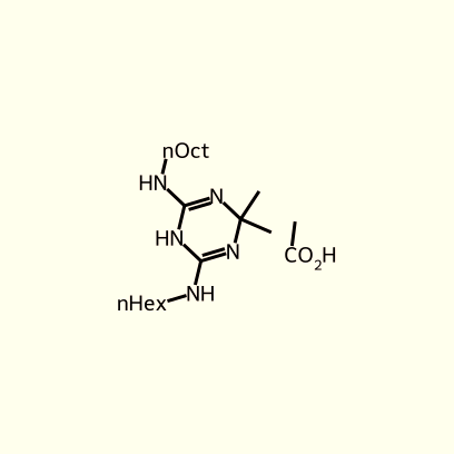 CC(=O)O.CCCCCCCCNC1=NC(C)(C)N=C(NCCCCCC)N1